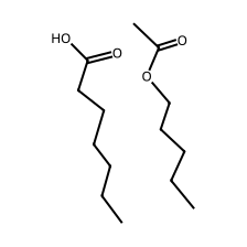 CCCCCCC(=O)O.CCCCCOC(C)=O